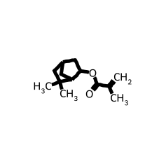 C=C(C)C(=O)OC1CC2CC1C(C)(C)C2